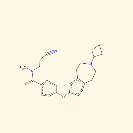 CN(CCC#N)C(=O)c1ccc(Oc2ccc3c(c2)CCN(C2CCC2)CC3)cc1